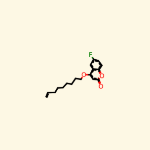 C=CCCCCCCCOc1cc(=O)oc2ccc(F)cc12